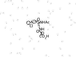 CC(=O)N[C@@H](SCCNC(=O)[C@H]1O[C@@H]1C(=O)O)C(=O)N1CCN(c2ccccc2Cl)CC1